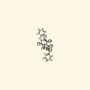 CCCN1C(=O)C(Cc2ccccc2)NC(=O)C1C(=O)NCc1ccccc1